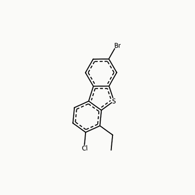 CCc1c(Cl)ccc2c1sc1cc(Br)ccc12